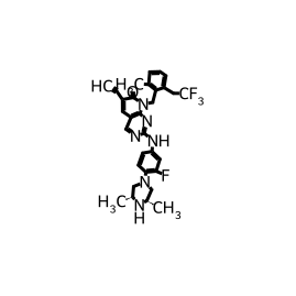 C#Cc1cc2cnc(Nc3ccc(N4C[C@@H](C)N[C@@H](C)C4)c(F)c3)nc2n(Cc2c(C)cccc2CC(F)(F)F)c1=O